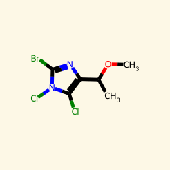 COC(C)c1nc(Br)n(Cl)c1Cl